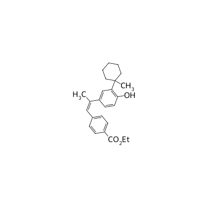 CCOC(=O)c1ccc(C=C(C)c2ccc(O)c(C3(C)CCCCC3)c2)cc1